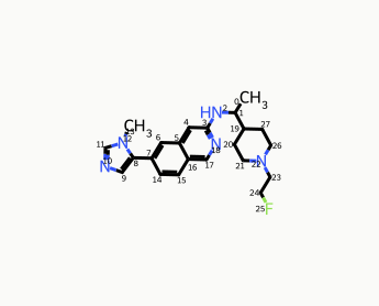 CC(Nc1cc2cc(-c3cncn3C)ccc2cn1)C1CCN(CCF)CC1